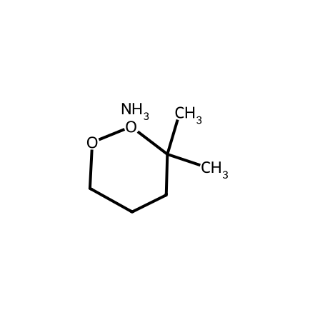 CC1(C)CCCOO1.N